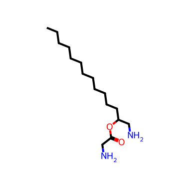 CCCCCCCCCCCCC(CN)OC(=O)CN